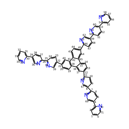 c1ccc(-c2ccc(-c3ccc(-c4ccc5c(c4)c4ccc(-c6ccc(-c7ccc(-c8ccccn8)cn7)nc6)cc4c4ccc(-c6ccc(-c7ccc(-c8ccccn8)cn7)cn6)cc45)nc3)nc2)nc1